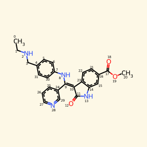 CCNCc1ccc(NC(=C2C(=O)Nc3cc(C(=O)OC)ccc32)c2cccnc2)cc1